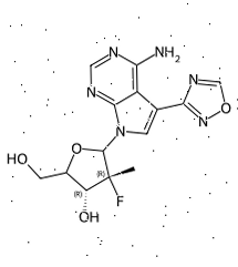 C[C@]1(F)C(n2cc(-c3ncon3)c3c(N)ncnc32)OC(CO)[C@H]1O